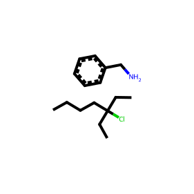 CCCCC(Cl)(CC)CC.NCc1ccccc1